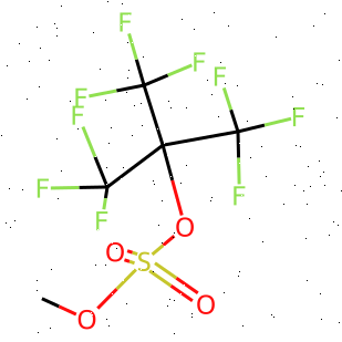 COS(=O)(=O)OC(C(F)(F)F)(C(F)(F)F)C(F)(F)F